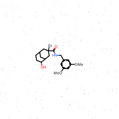 CCC1(C(=O)NCc2cc(OC)cc(OC)c2)CC2CCC(O)C(C2)C1